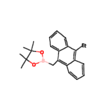 CCc1c2ccccc2c(CB2OC(C)(C)C(C)(C)O2)c2ccccc12